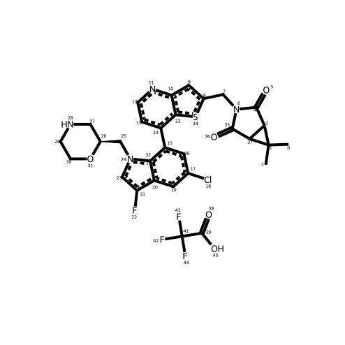 CC1(C)C2C(=O)N(Cc3cc4nccc(-c5cc(Cl)cc6c(F)cn(C[C@@H]7CNCCO7)c56)c4s3)C(=O)C21.O=C(O)C(F)(F)F